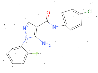 Nc1c(C(=O)Nc2ccc(Cl)cc2)cnn1-c1ccccc1F